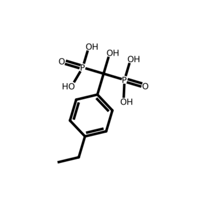 CCc1ccc(C(O)(P(=O)(O)O)P(=O)(O)O)cc1